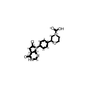 O=C(O)N1CCOC(c2ccc(-n3c(Cl)cc4c(=O)[nH]cnc43)cc2)C1